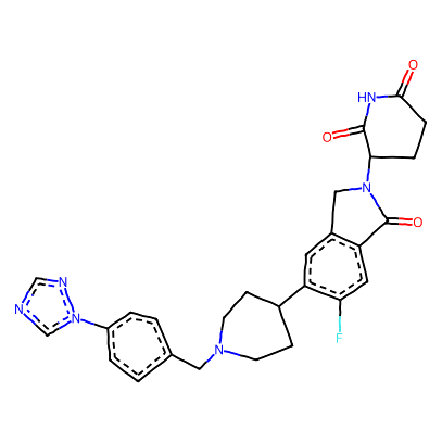 O=C1CCC(N2Cc3cc(C4CCN(Cc5ccc(-n6cncn6)cc5)CC4)c(F)cc3C2=O)C(=O)N1